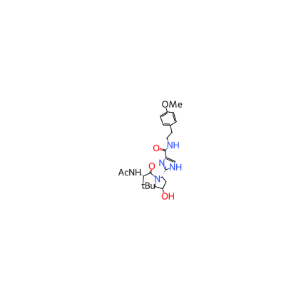 COc1ccc(CCNC(=O)c2c[nH]c([C@@H]3C[C@@H](O)CN3C(=O)[C@@H](NC(C)=O)C(C)(C)C)n2)cc1